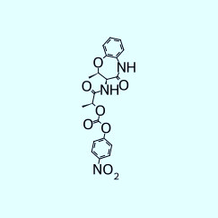 C[C@H](OC(=O)Oc1ccc([N+](=O)[O-])cc1)C(=O)N[C@@H]1C(=O)Nc2ccccc2O[C@@H]1C